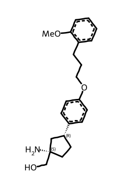 COc1ccccc1CCCOc1ccc([C@@H]2CC[C@@](N)(CO)C2)cc1